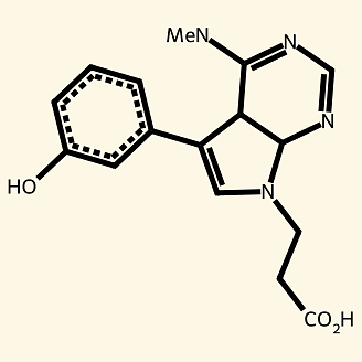 CNC1=NC=NC2C1C(c1cccc(O)c1)=CN2CCC(=O)O